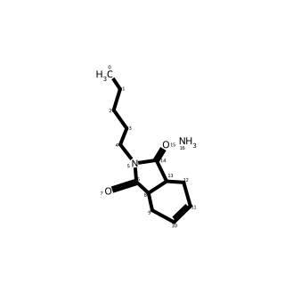 CCCCCN1C(=O)C2CC=CCC2C1=O.N